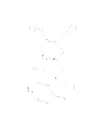 C#Cc1cc(CC(C)(C)c2cnccc2Cl)ncc1C(C)(C)C